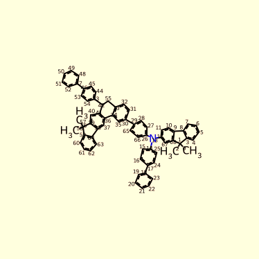 CC1(C)c2ccccc2-c2ccc(N(c3ccc(-c4ccccc4)cc3)c3ccc(-c4ccc5c(c4)-c4cc6c(cc4C(c4ccc(-c7ccccc7)cc4)C5)C(C)(C)c4ccccc4-6)cc3)cc21